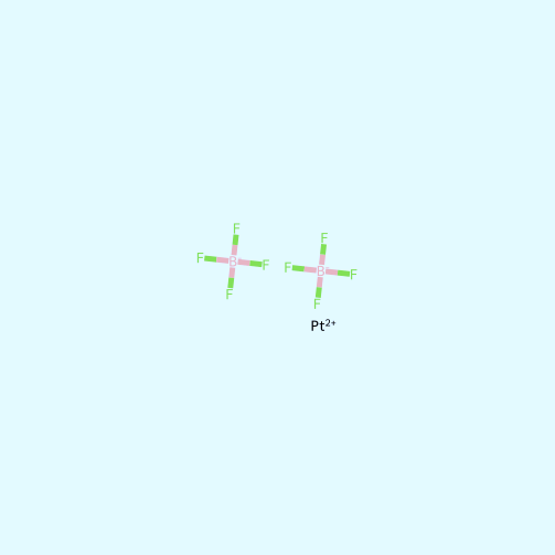 F[B-](F)(F)F.F[B-](F)(F)F.[Pt+2]